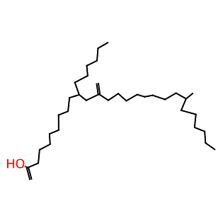 C=C(O)CCCCCCCCC(CCCCCC)CC(=C)CCCCCCCCC(C)CCCCCC